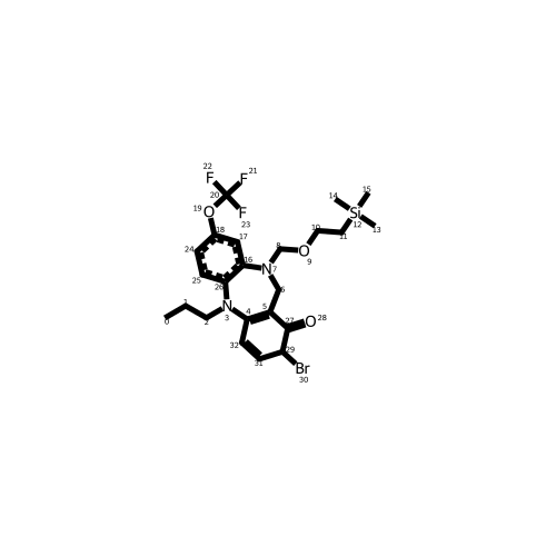 CCCN1C2=C(CN(COCC[Si](C)(C)C)c3cc(OC(F)(F)F)ccc31)C(=O)C(Br)C=C2